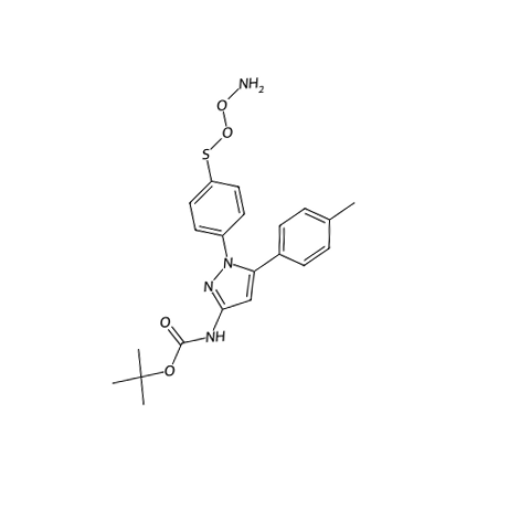 Cc1ccc(-c2cc(NC(=O)OC(C)(C)C)nn2-c2ccc(SOON)cc2)cc1